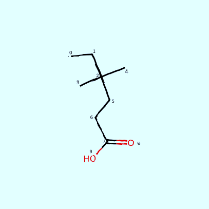 [CH2]CC(C)(C)CCC(=O)O